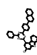 Clc1cc(C2N=C(c3ccc(-c4ccc5ccccc5c4)cc3)N=C(c3ccccc3)N2)c2c(c1)oc1ccccc12